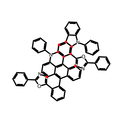 c1ccc(-c2nnc(-c3ccccc3-c3c4ccccc4c(-c4ccccc4-c4nnc(-c5ccccc5)o4)c4c(N(c5ccccc5)c5ccc6c(c5)c5ccccc5n6-c5ccccc5)cccc34)o2)cc1